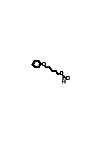 ClPOCCCCCOc1ccccc1